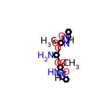 COc1cc2c(cc1OCc1cc(N)cc(COc3cc4c(cc3OC)C(=O)N3c5ccccc5C[C@H]3CN4)c1)N=C[C@@H]1Cc3ccccc3N1C2=O